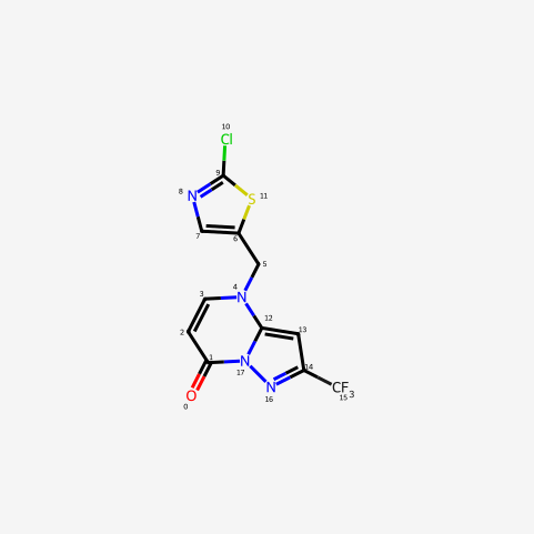 O=c1ccn(Cc2cnc(Cl)s2)c2cc(C(F)(F)F)nn12